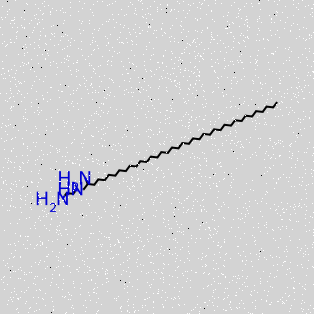 CCCCCCCCCCCCCCCCCCCCCCCCCCCCCCCCCCCCC(N)CNCCN